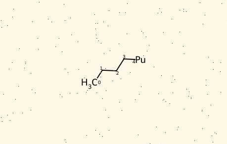 CCC[CH2][Pu]